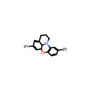 CC(C)C1=CC2Oc3ccc(C(C)C)cc3N3CCCC(=C1)C23